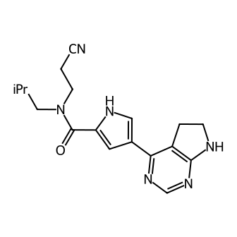 CC(C)CN(CCC#N)C(=O)c1cc(-c2ncnc3c2CCN3)c[nH]1